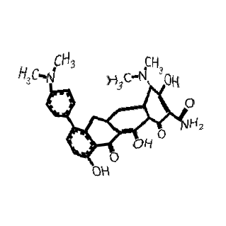 CN(C)c1ccc(-c2ccc(O)c3c2CC2CC4C(C(=O)C(C(N)=O)=C(O)[C@H]4N(C)C)C(O)=C2C3=O)cc1